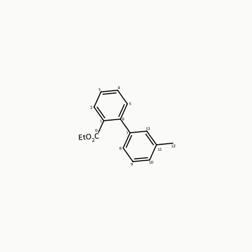 CCOC(=O)c1ccccc1-c1cccc(C)c1